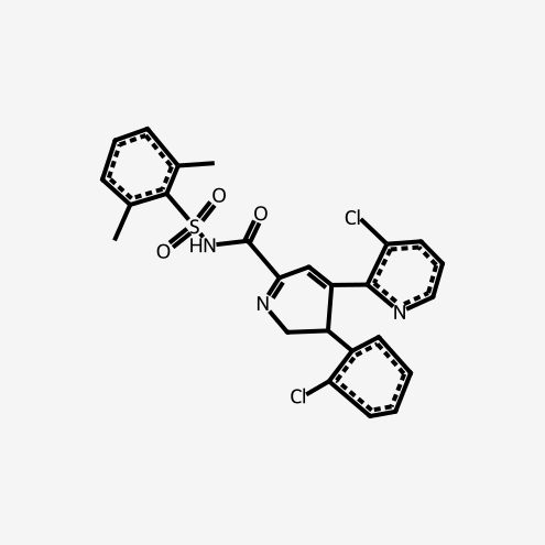 Cc1cccc(C)c1S(=O)(=O)NC(=O)C1=NCC(c2ccccc2Cl)C(c2ncccc2Cl)=C1